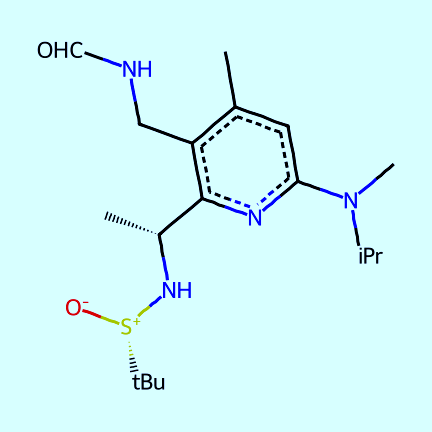 Cc1cc(N(C)C(C)C)nc([C@@H](C)N[S@@+]([O-])C(C)(C)C)c1CNC=O